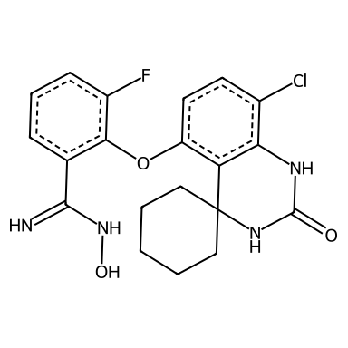 N=C(NO)c1cccc(F)c1Oc1ccc(Cl)c2c1C1(CCCCC1)NC(=O)N2